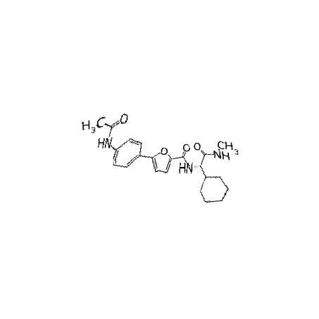 CNC(=O)[C@@H](NC(=O)c1ccc(-c2ccc(NC(C)=O)cc2)o1)C1CCCCC1